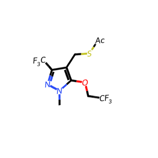 CC(=O)SCc1c(C(F)(F)F)nn(C)c1OCC(F)(F)F